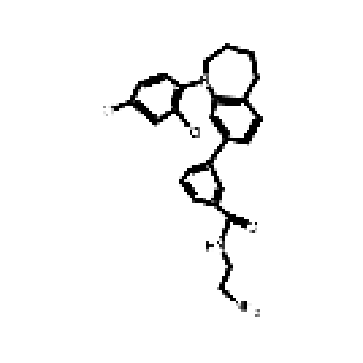 NCCNC(=O)c1cccc(-c2ccc3c(c2)N(c2ccc(Cl)cc2Cl)CCCC3)c1